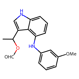 COc1cccc(Nc2cccc3[nH]cc(C(C)OC=O)c23)c1